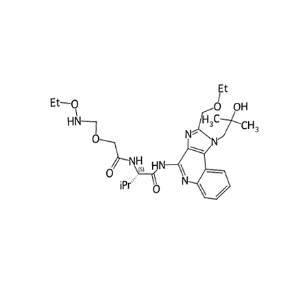 CCOCc1nc2c(NC(=O)[C@@H](NC(=O)COCNOCC)C(C)C)nc3ccccc3c2n1CC(C)(C)O